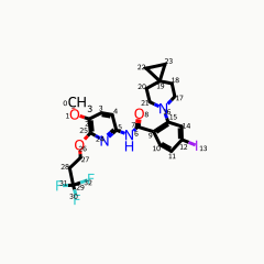 COc1ccc(NC(=O)c2ccc(I)cc2N2CCC3(CC2)CC3)nc1OCCC(F)(F)F